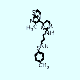 Cc1ccc(SNCCCNc2nccc(-c3c(C)nc4sccn34)n2)cc1